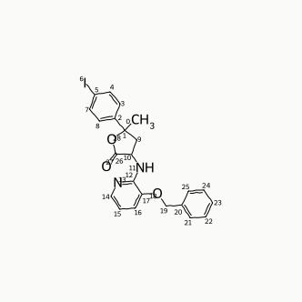 CC1(c2ccc(I)cc2)CC(Nc2ncccc2OCc2ccccc2)C(=O)O1